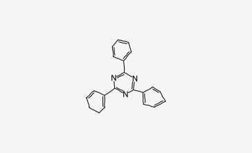 C1=CC(c2nc(-c3ccccc3)nc(-c3ccccc3)n2)=CCC1